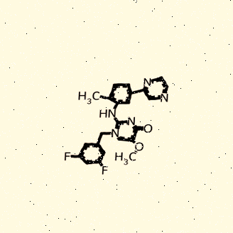 COc1cn(Cc2cc(F)cc(F)c2)c(Nc2cc(-c3cnccn3)ccc2C)nc1=O